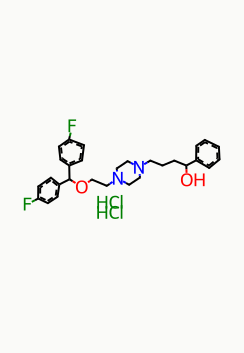 Cl.Cl.OC(CCCN1CCN(CCOC(c2ccc(F)cc2)c2ccc(F)cc2)CC1)c1ccccc1